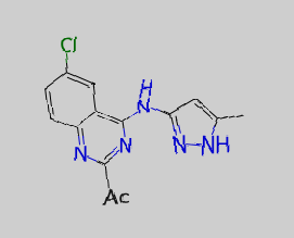 CC(=O)c1nc(Nc2cc(C)[nH]n2)c2cc(Cl)ccc2n1